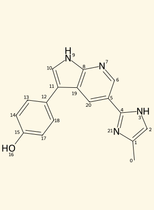 Cc1c[nH]c(-c2cnc3[nH]cc(-c4ccc(O)cc4)c3c2)n1